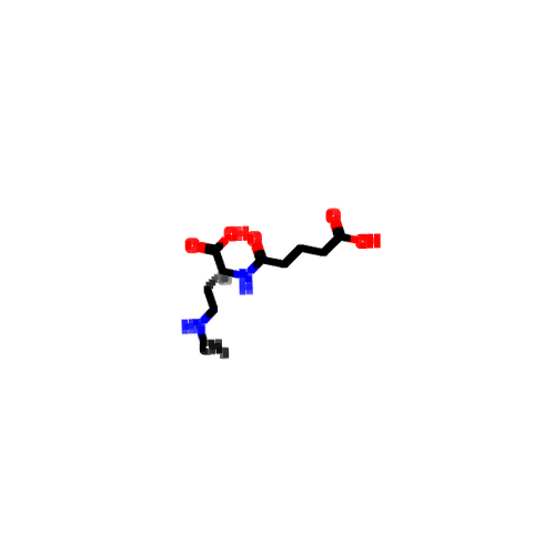 CNCC[C@@H](NC(=O)CCCC(=O)O)C(=O)O